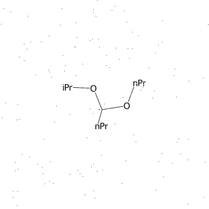 CCCO[C](CCC)OC(C)C